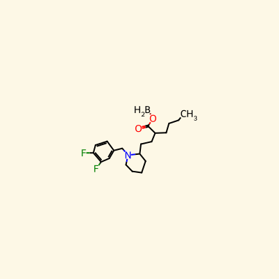 BOC(=O)C(CCCC)CCC1CCCCN1Cc1ccc(F)c(F)c1